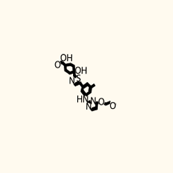 COCCOc1ccnc(Nc2cc(C)cc(-c3cnc(C4(O)CCC(C(=O)O)CC4)s3)c2)n1